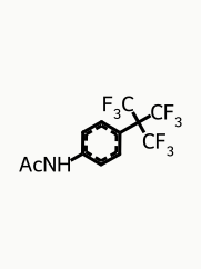 CC(=O)Nc1ccc(C(C(F)(F)F)(C(F)(F)F)C(F)(F)F)cc1